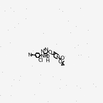 CC1(OC(=O)N2CCC3(COc4ncnc(Nc5ccc(C#N)cc5Cl)c4O)CC3C2)CC1